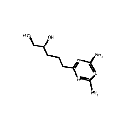 Nc1nc(N)nc(CCCC(O)CO)n1